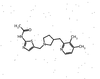 CC(=O)Nc1ncc(CN2CCC(Cc3nccc(C)c3C)C2)s1